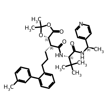 Cc1cccc(-c2ccccc2CCC[C@@H](C(=O)N[C@H](C(=O)N[C@H](C)c2ccncc2)C(C)(C)C)[C@@H]2OC(C)(C)OC2=O)c1